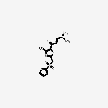 Cc1nc(CS(=O)(=O)c2cccs2)sc1C(=O)C=CN(C)C